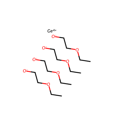 CCOCC[O-].CCOCC[O-].CCOCC[O-].CCOCC[O-].[Ge+4]